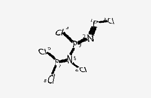 ClP=NP(Cl)N(Cl)P(Cl)Cl